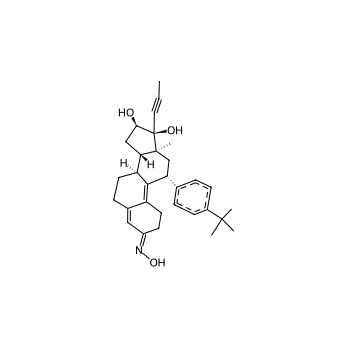 CC#C[C@@]1(O)[C@H](O)C[C@H]2[C@@H]3CCC4=C/C(=N/O)CCC4=C3[C@@H](c3ccc(C(C)(C)C)cc3)C[C@@]21C